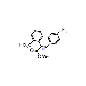 COC(=O)/C(=C/c1ccc(C(F)(F)F)cc1)c1ccccc1C(=O)O